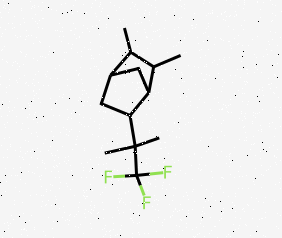 CC1C2CC(C1C)C(C(C)(C)C(F)(F)F)C2